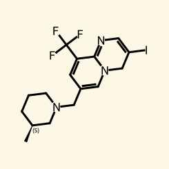 C[C@H]1CCCN(CC2=CN3CC(I)=CN=C3C(C(F)(F)F)=C2)C1